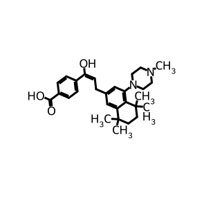 CN1CCN(c2cc(C/C=C(/O)c3ccc(C(=O)O)cc3)cc3c2C(C)(C)CCC3(C)C)CC1